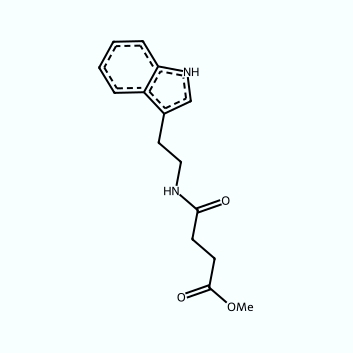 COC(=O)CCC(=O)NCCc1c[nH]c2ccccc12